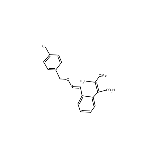 COC(C)=C(C(=O)O)c1ccccc1C=NOCc1ccc(Cl)cc1